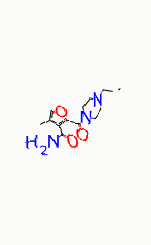 [CH2]CN1CCN(C(=O)c2occ(C)c2C(N)=O)CC1